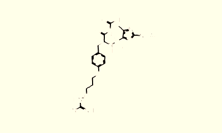 CC(=O)Nc1nc(C)c(S(=O)(=O)N[C@@H](Cc2ccc(OCCCONC(=N)N)cc2)C(=O)OC(=O)C(F)(F)F)s1